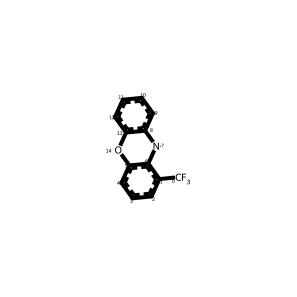 FC(F)(F)c1cccc2c1[N]c1ccccc1O2